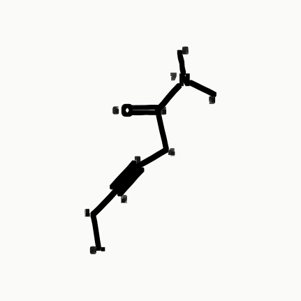 [CH2]CC#CCC(=O)N(C)C